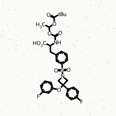 CC(OC(=O)NC(Cc1cccc(S(=O)(=O)N2CC(Oc3cccc(F)c3)(c3ccc(F)cc3)C2)c1)C(=O)O)OC(=O)C(C)(C)C